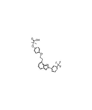 CC(C)(Oc1ccc(OCCc2cccc3cn(-c4cccc(C(F)(F)F)c4)nc23)cc1)C(=O)O